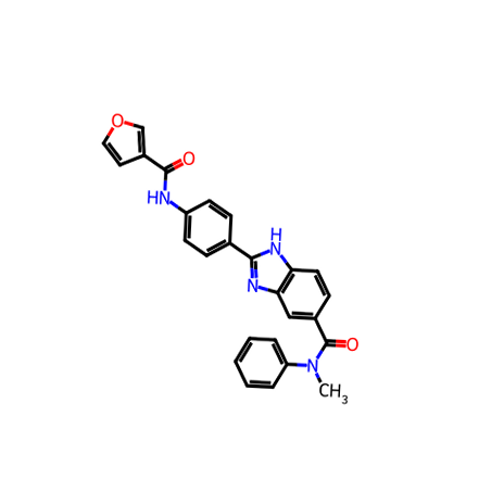 CN(C(=O)c1ccc2[nH]c(-c3ccc(NC(=O)c4ccoc4)cc3)nc2c1)c1ccccc1